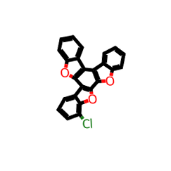 Clc1cccc2c1oc1c3oc4ccccc4c3c3c4ccccc4oc3c21